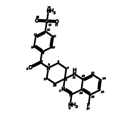 NC1=NC2(CCN(C(=O)c3ccc(S(N)(=O)=O)cc3)CC2)Nc2cccc(F)c21